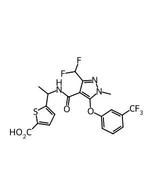 CC(NC(=O)c1c(C(F)F)nn(C)c1Oc1cccc(C(F)(F)F)c1)c1ccc(C(=O)O)s1